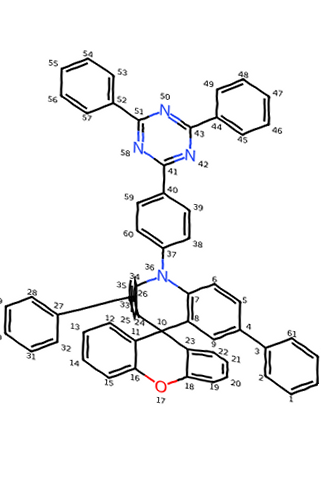 c1ccc(-c2ccc3c(c2)C2(c4ccccc4Oc4ccccc42)c2cc(-c4ccccc4)ccc2N3c2ccc(-c3nc(-c4ccccc4)nc(-c4ccccc4)n3)cc2)cc1